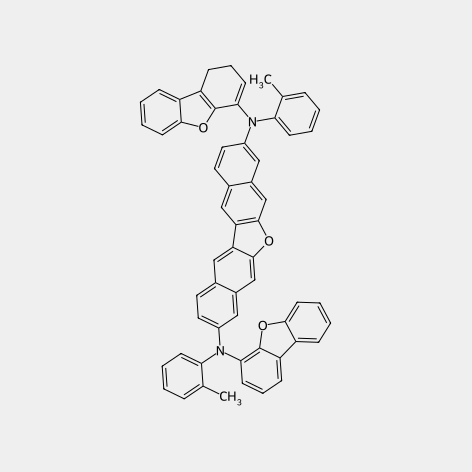 Cc1ccccc1N(C1=CCCc2c1oc1ccccc21)c1ccc2cc3c(cc2c1)oc1cc2cc(N(c4ccccc4C)c4cccc5c4oc4ccccc45)ccc2cc13